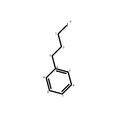 ICCCc1ccccc1